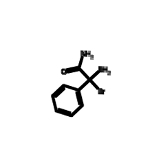 BC(Br)(C(N)=O)c1ccccc1